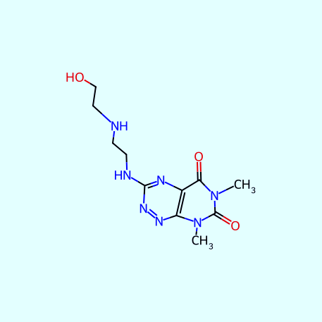 Cn1c(=O)c2nc(NCCNCCO)nnc2n(C)c1=O